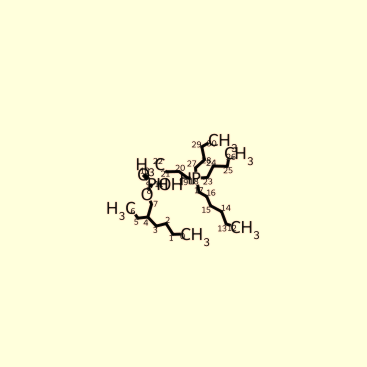 CCCCC(CC)CO[PH](=O)O.CCCCCC[PH](CCCC)(CCCC)CCCC